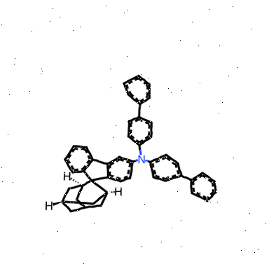 c1ccc(-c2ccc(N(c3ccc(-c4ccccc4)cc3)c3ccc4c(c3)-c3ccccc3C43[C@H]4CC5C[C@H](C4)C[C@@H]3C5)cc2)cc1